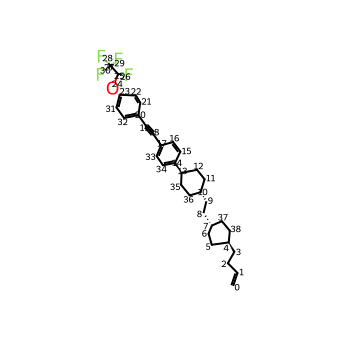 C=CCC[C@H]1CC[C@H](CC[C@H]2CC[C@H](c3ccc(C#Cc4ccc(OC(F)C(F)(F)F)cc4)cc3)CC2)CC1